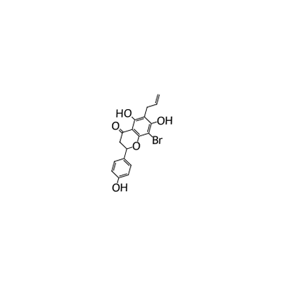 C=CCc1c(O)c(Br)c2c(c1O)C(=O)CC(c1ccc(O)cc1)O2